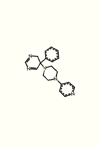 C1=NC=NCC1(c1ccccc1)N1CCN(c2ccncc2)CC1